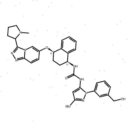 CN1CCCC1c1nnc2ccc(O[C@@H]3CC[C@H](NC(=O)Nc4cc(C(C)(C)C)nn4-c4cccc(CO)c4)c4ccccc43)cn12